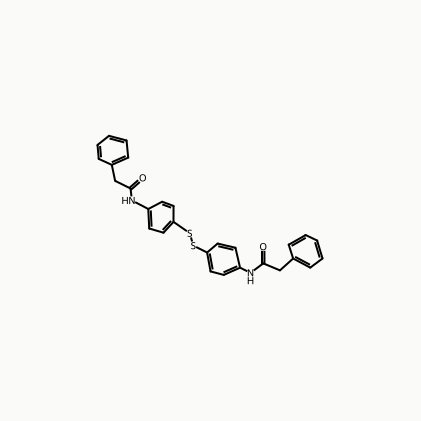 O=C(Cc1ccccc1)Nc1ccc(SSc2ccc(NC(=O)Cc3ccccc3)cc2)cc1